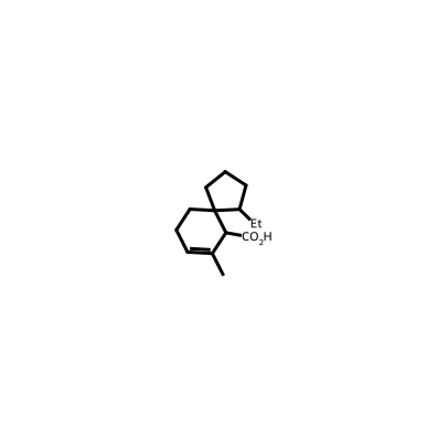 CCC1CCCC12CCC=C(C)C2C(=O)O